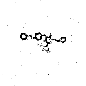 CC(C)C[C@@H](C(=O)N[C@@H](Cc1ccc(OCc2ccccc2)cc1)C(=O)NCCN1CCCC1)N(C)C